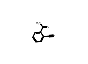 N#Cc1c[c]ccc1C(N)=O